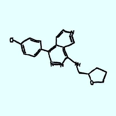 Clc1ccc(-c2nnc(NC[C@H]3CCCO3)c3cnccc23)cc1